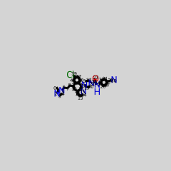 Cc1nccn1CCCC1=Cc2cccnc2C(N2CCN(C(=O)Nc3ccc(C#N)cc3)CC2)c2ccc(Cl)cc21